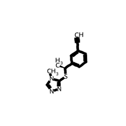 C#Cc1cccc([C@H](C)Sc2nncn2C)c1